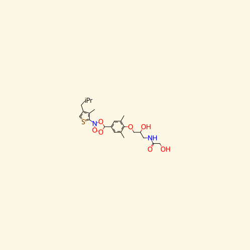 Cc1cc(C2OON(c3scc(CC(C)C)c3C)O2)cc(C)c1OCC(O)CNC(=O)CO